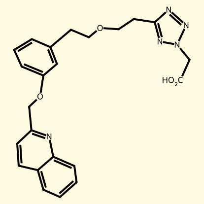 O=C(O)Cn1nnc(CCOCCc2cccc(OCc3ccc4ccccc4n3)c2)n1